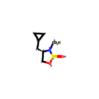 O=C(O)N1[C@@H](CC2CC2)COS1=O